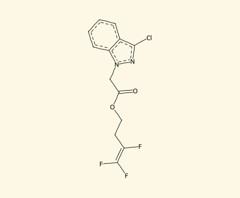 O=C(Cn1nc(Cl)c2ccccc21)OCCC(F)=C(F)F